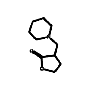 O=C1OCCC1CN1CCCCC1